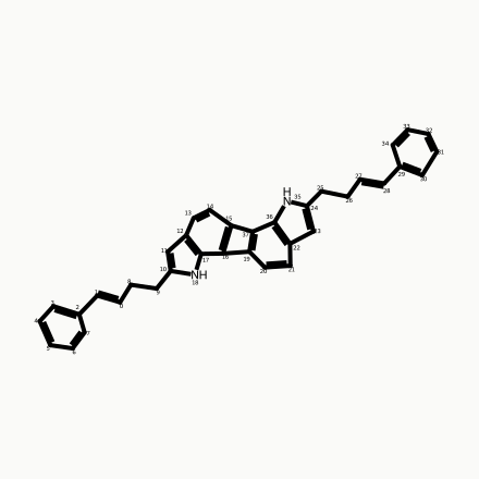 C(=C\c1ccccc1)/CCc1cc2ccc3c(c2[nH]1)-c1ccc2cc(CC/C=C/c4ccccc4)[nH]c2c1-3